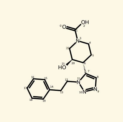 O=C(O)N1CC[C@H](c2cnnn2CCc2ccccc2)[C@@H](O)C1